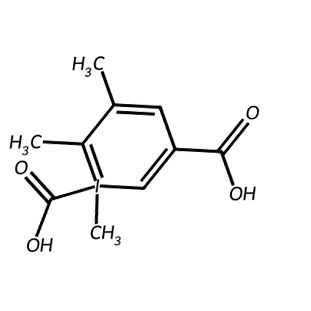 CC1=CC(C(=O)O)=CI(C)(C(=O)O)=C1C